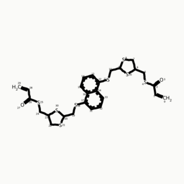 C=CC(=O)SCC1CSC(CSc2cccc3c(SCC4SCC(CSC(=O)C=C)S4)cccc23)S1